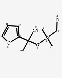 CC(C#N)(O[Si](C)(C)CCl)c1ccco1